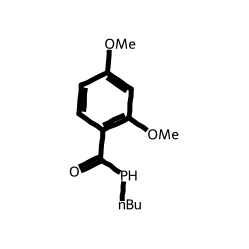 CCCCPC(=O)c1ccc(OC)cc1OC